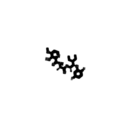 CCC(CC)[C@H](Oc1cc(F)ccc1F)[C@H](C)OC(=O)[C@H](C)NC(=O)c1nccc(OC)c1O